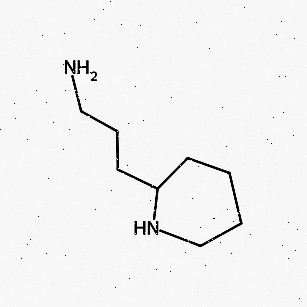 NCCCC1CCCCN1